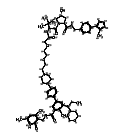 CCN(c1cc(-c2ccc(N3CCN(CCOCCOCC(=O)NC(C(=O)N4C[C@H](O)C[C@H]4C(=O)NCc4ccc(-c5scnc5C)cc4)C(C)(C)C)CC3)cn2)cc(C(=O)NCc2c(C)cc(C)[nH]c2=O)c1C)C1CCOCC1